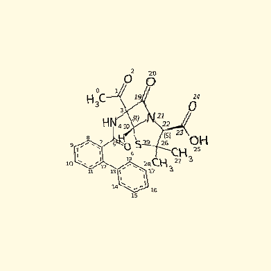 CC(=O)C1(NC(=O)c2ccccc2-c2ccccc2)C(=O)N2[C@@H](C(=O)O)C(C)(C)S[C@@H]21